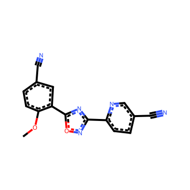 COc1ccc(C#N)cc1-c1nc(-c2ccc(C#N)cn2)no1